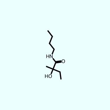 CCCCNC(=O)C(C)(O)CC